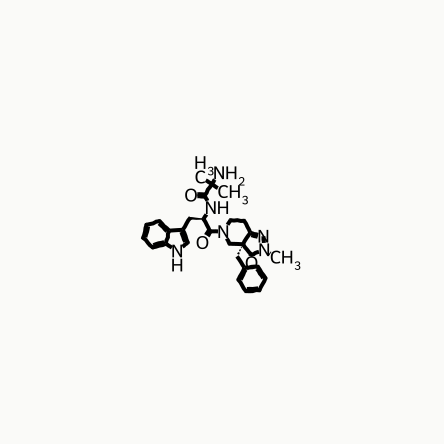 CN1N=C2CCN(C(=O)[C@@H](Cc3c[nH]c4ccccc34)NC(=O)C(C)(C)N)C[C@]2(Cc2ccccc2)C1=O